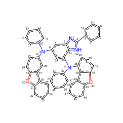 c1ccc(-c2nc3cc(N(c4ccccc4)c4ccc5oc6ccccc6c5c4)cc(N(c4ccccc4)c4cccc5oc6ccccc6c45)c3[nH]2)cc1